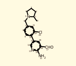 CC1CCCN1Cc1ccc(-c2cnc(N)c(C=O)c2)c(Cl)c1